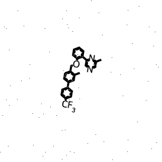 Cc1cncc(-c2ccccc2OCc2ccc(-c3ccc(C(F)(F)F)cc3)cc2C)n1